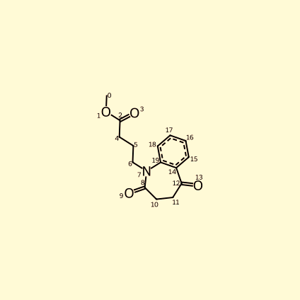 COC(=O)CCCN1C(=O)CCC(=O)c2ccccc21